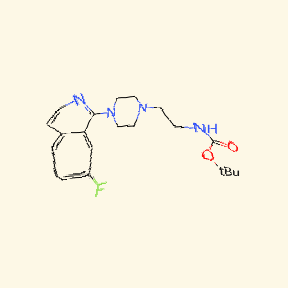 CC(C)(C)OC(=O)NCCN1CCN(c2nccc3ccc(F)cc23)CC1